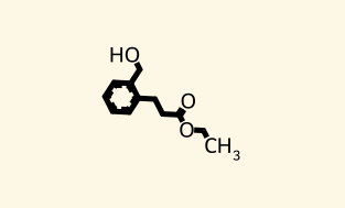 CCOC(=O)CCc1ccccc1CO